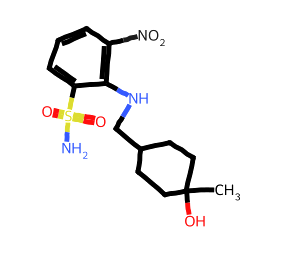 CC1(O)CCC(CNc2c([N+](=O)[O-])cccc2S(N)(=O)=O)CC1